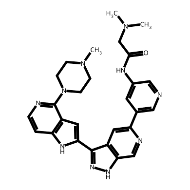 CN(C)CC(=O)Nc1cncc(-c2cc3c(-c4cc5c(N6CCN(C)CC6)nccc5[nH]4)n[nH]c3cn2)c1